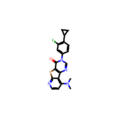 CN(C)c1ccnc2sc3c(=O)n(-c4ccc(C5CC5)c(F)c4)cnc3c12